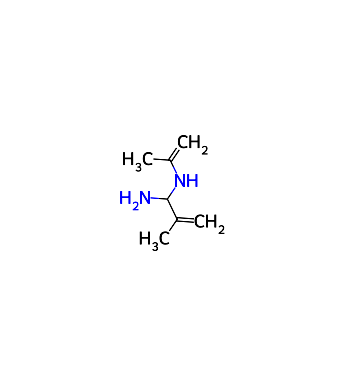 C=C(C)NC(N)C(=C)C